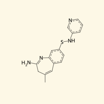 CC1=Cc2ccc(SNc3cccnc3)cc2N=C(N)C1